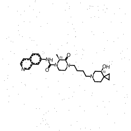 C[C@H]1C(=O)N(CCCCN2CCC3(CC3)[C@H](O)C2)CCN1C(=O)Nc1ccc2ccncc2c1